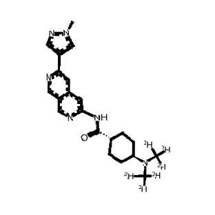 [2H]C([2H])([2H])N([C@H]1CC[C@H](C(=O)Nc2cc3cc(-c4cnn(C)c4)ncc3cn2)CC1)C([2H])([2H])[2H]